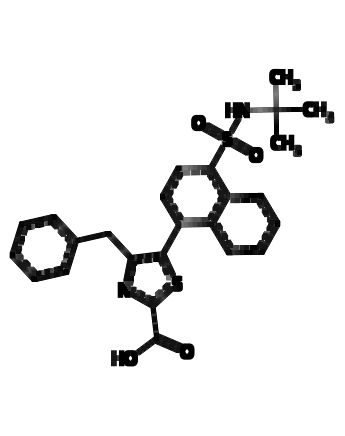 CC(C)(C)NS(=O)(=O)c1ccc(-c2sc(C(=O)O)nc2Cc2ccccc2)c2ccccc12